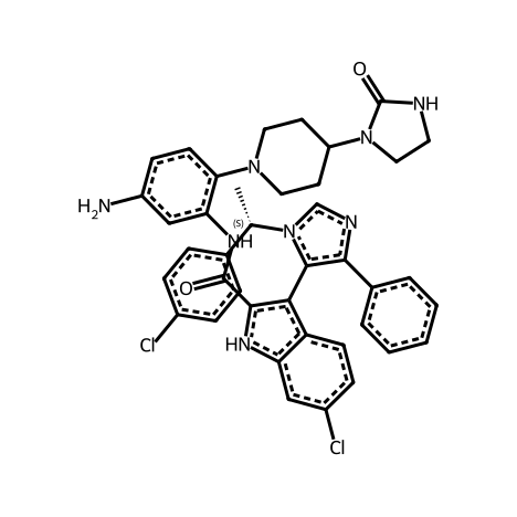 C[C@@H](c1ccc(Cl)cc1)n1cnc(-c2ccccc2)c1-c1c(C(=O)Nc2cc(N)ccc2N2CCC(N3CCNC3=O)CC2)[nH]c2cc(Cl)ccc12